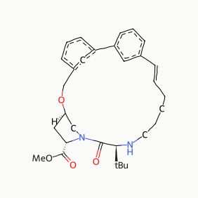 COC(=O)[C@@H]1C[C@@H]2CN1C(=O)[C@H](C(C)(C)C)NCCCC/C=C/c1cccc(c1)-c1cccc(c1)CO2